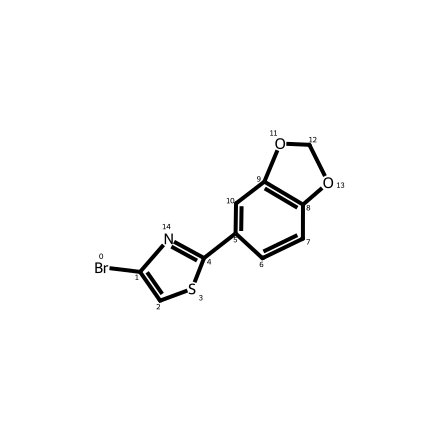 Brc1csc(-c2ccc3c(c2)OCO3)n1